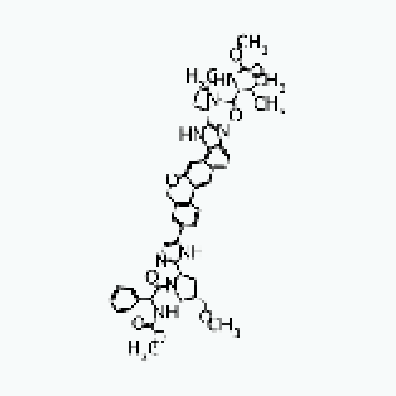 COC[C@H]1CC(c2ncc(-c3ccc4c(c3)COc3cc5c(ccc6nc([C@@H]7CC[C@H](C)N7C(=O)[C@@H](NC(=O)OC)C(C)C)[nH]c65)cc3-4)[nH]2)N(C(=O)[C@@H](NC(=O)OC)c2ccccc2)C1